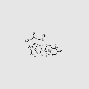 CC1(C)C(=O)CCC2(C)C1CCC1(C)C2CCC2C3CCCC3(C(=O)C3OC(CO)C4OC4C3O)CC[C@]21C